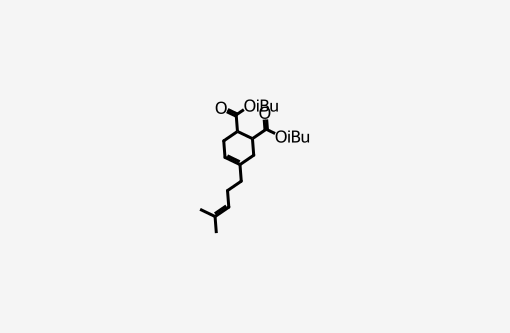 CC(C)=CCCC1=CCC(C(=O)OCC(C)C)C(C(=O)OCC(C)C)C1